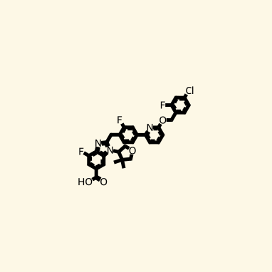 CC1(C)COCC1n1c(Cc2ccc(-c3cccc(OCc4ccc(Cl)cc4F)n3)cc2F)nc2c(F)cc(C(=O)O)cc21